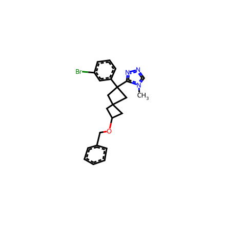 Cn1cnnc1C1(c2cccc(Br)c2)CC2(CC(OCc3ccccc3)C2)C1